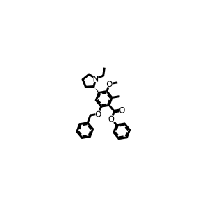 CCN1CCC[C@H]1c1cc(OCc2ccccc2)c(C(=O)Oc2ccccc2)c(C)c1OC